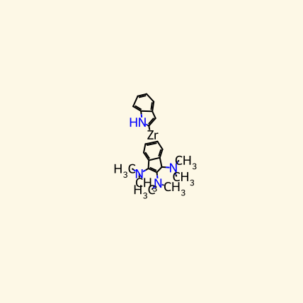 CN(C)C1=C(N(C)C)C(N(C)C)c2ccccc21.[Zr][c]1cc2ccccc2[nH]1